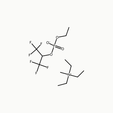 CCOP(=O)([O-])OC(C(F)(F)F)C(F)(F)F.CC[N+](C)(CC)CC